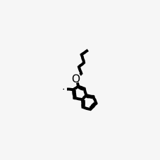 [CH2]c1cc2ccccc2cc1OCCCCC